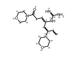 C=C/C(=C\C(=C/CC(=O)N1CCOCC1)NC(=N)N)N1CCOCC1